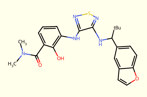 CN(C)C(=O)c1cccc(Nc2nsnc2NC(c2ccc3occc3c2)C(C)(C)C)c1O